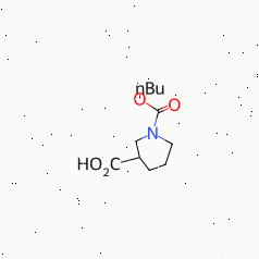 CCCCOC(=O)N1CCCC(C(=O)O)C1